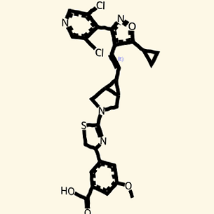 COc1cc(C(=O)O)cc(C2CSC(N3CC4C(/C=C/c5c(-c6c(Cl)cncc6Cl)noc5C5CC5)C4C3)=N2)c1